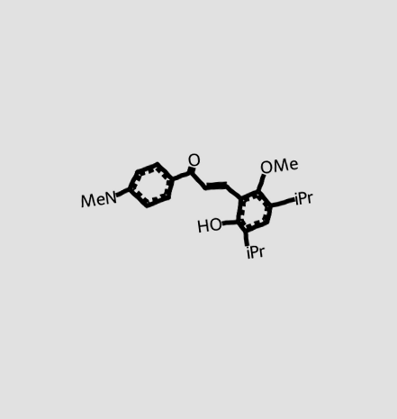 CNc1ccc(C(=O)/C=C/c2c(O)c(C(C)C)cc(C(C)C)c2OC)cc1